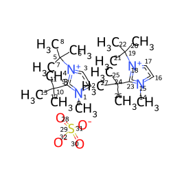 Cn1cc[n+](C(C)(C)C)c1C(C)(C)C.Cn1cc[n+](C(C)(C)C)c1C(C)(C)C.O=S(=O)([O-])[O-]